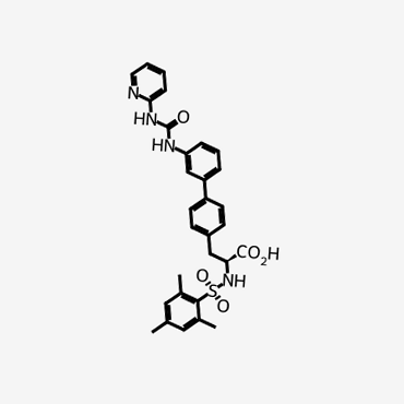 Cc1cc(C)c(S(=O)(=O)N[C@@H](Cc2ccc(-c3cccc(NC(=O)Nc4ccccn4)c3)cc2)C(=O)O)c(C)c1